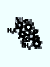 CCOc1ccc(-c2ccc(N)nc2C)cc1CN(C(=O)c1sc2ccccc2c1Cl)[C@H]1CC[C@H](C)CC1